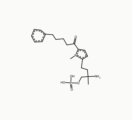 Cn1c(CCC(C)(N)COP(=O)(O)O)ccc1C(=O)CCCCc1ccccc1